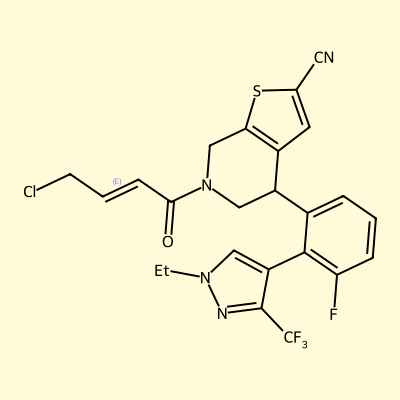 CCn1cc(-c2c(F)cccc2C2CN(C(=O)/C=C/CCl)Cc3sc(C#N)cc32)c(C(F)(F)F)n1